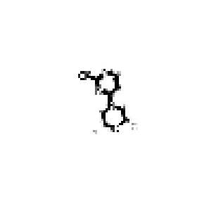 C[C@@H]1CN(c2ccnc(Cl)n2)C[C@H](C)O1